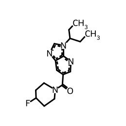 CCC(CC)n1cnc2cc(C(=O)N3CCC(F)CC3)cnc21